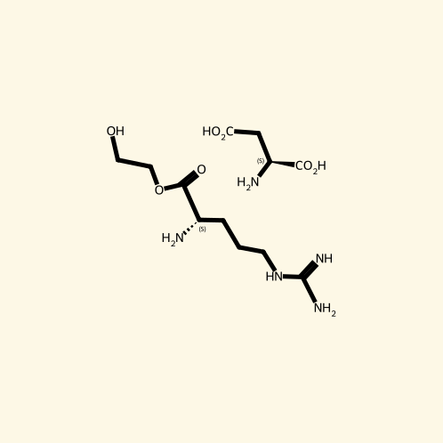 N=C(N)NCCC[C@H](N)C(=O)OCCO.N[C@@H](CC(=O)O)C(=O)O